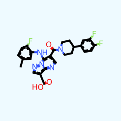 Cc1ccc(F)c(Nc2c(C(=O)N3CCC(c4ccc(F)c(F)c4)CC3)cnc3c(C(=O)O)cnn23)c1